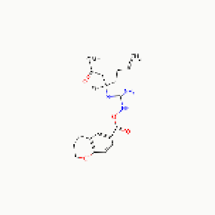 C=CCCC(CC)(CC(=O)OC)N=C(N)NOC(=O)c1ccc2c(c1)CCCO2